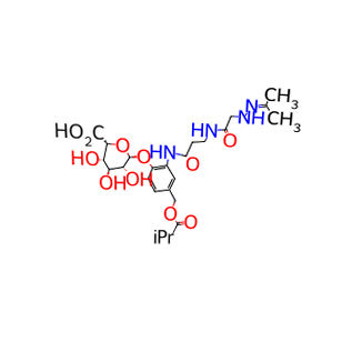 CC(C)=NNCC(=O)NCCC(=O)Nc1cc(COC(=O)C(C)C)ccc1O[C@@H]1O[C@H](C(=O)O)[C@@H](O)[C@H](O)[C@H]1O